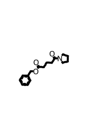 O=C(CCCC(=O)N1CCCC1)OCc1ccccc1